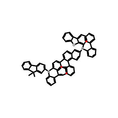 CC1(C)c2ccccc2-c2ccc(N(c3ccc4c(c3)c3ccccc3c3c5ccc(N(c6ccccc6-c6ccccc6)c6cccc7c6oc6ccccc67)cc5ccc43)c3ccccc3-c3ccccc3)cc21